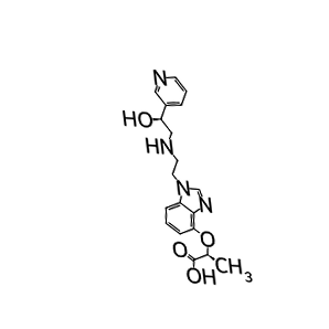 C[C@H](Oc1cccc2c1ncn2CCNC[C@@H](O)c1cccnc1)C(=O)O